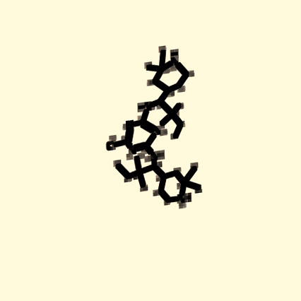 CCC(C)(C)C(Nc1nc(Cl)nc(NC(C2CCNC(C)(C)C2)C(C)(C)CC)n1)C1CCNC(C)(C)C1